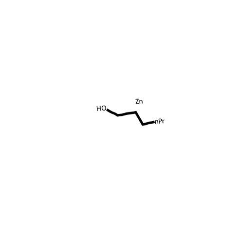 CCCCCCO.[Zn]